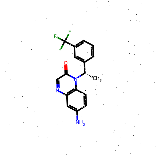 C[C@@H](c1cccc(C(F)(F)F)c1)n1c(=O)cnc2cc(N)ccc21